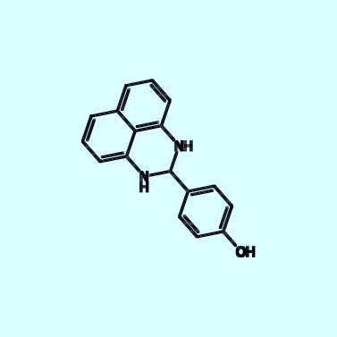 Oc1ccc(C2Nc3cccc4cccc(c34)N2)cc1